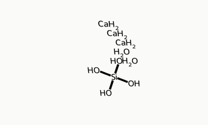 O.O.O[Si](O)(O)O.[CaH2].[CaH2].[CaH2]